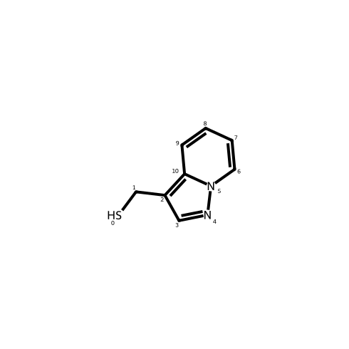 SCc1cnn2ccccc12